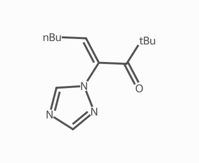 CCCC/C=C(/C(=O)C(C)(C)C)n1cncn1